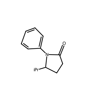 CC(C)C1CCC(=O)N1c1ccccc1